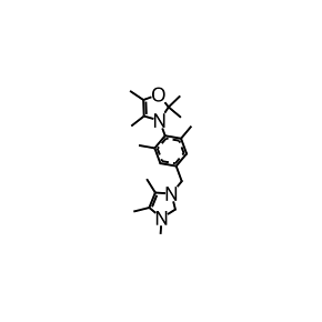 CC1=C(C)N(c2c(C)cc(CN3CN(C)C(C)=C3C)cc2C)C(C)(C)O1